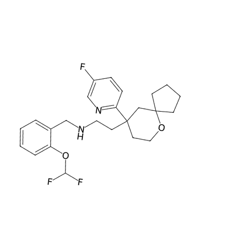 Fc1ccc(C2(CCNCc3ccccc3OC(F)F)CCOC3(CCCC3)C2)nc1